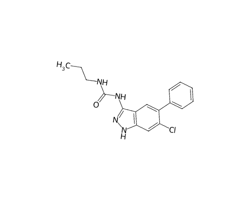 CCCNC(=O)Nc1n[nH]c2cc(Cl)c(-c3ccccc3)cc12